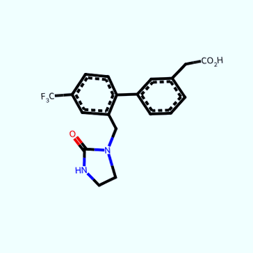 O=C(O)Cc1cccc(-c2ccc(C(F)(F)F)cc2CN2CCNC2=O)c1